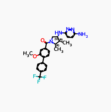 COc1cc(C(=O)N2C[C@@H](Nc3ccc(N)nn3)[C@@H](C)[C@H]2C)ccc1-c1ccc(C(F)(F)F)cc1